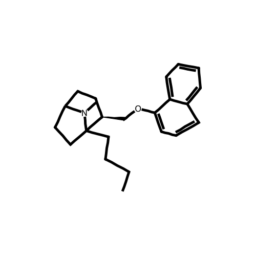 CCCCC12CCC(CC[C@H]1COc1cccc3ccccc13)N2C